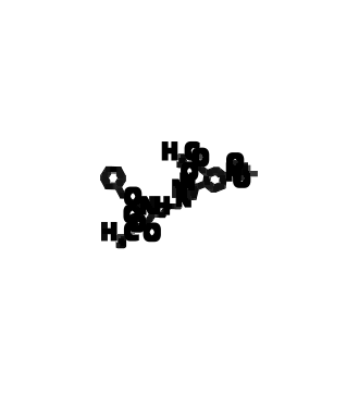 COC(=O)c1cc([N+](=O)[O-])ccc1-c1cn(CCC[C@H](NC(=O)OCc2ccccc2)C(=O)OC)nn1